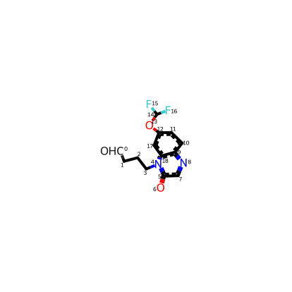 O=CCCCn1c(=O)cnc2ccc(OC(F)F)cc21